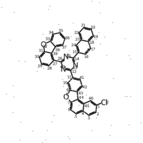 Clc1ccc2ccc3oc4cc(-c5nc(-c6ccc7ccccc7c6)nc(-c6cccc7oc8ccccc8c67)n5)ccc4c3c2c1